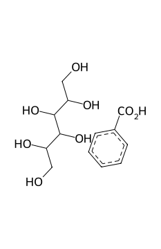 O=C(O)c1ccccc1.OCC(O)C(O)C(O)C(O)CO